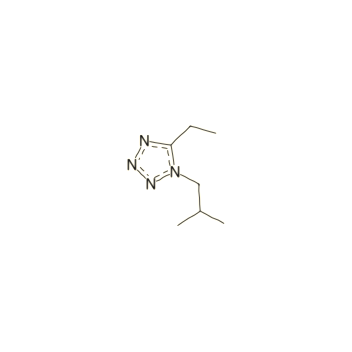 CCc1nnnn1CC(C)C